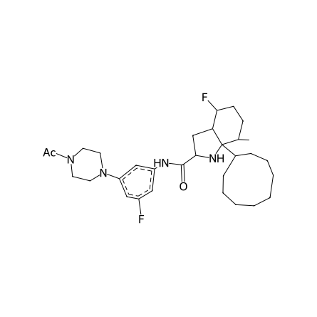 CC(=O)N1CCN(c2cc(F)cc(NC(=O)C3CC4C(F)CCC(C)C4(C4CCCCCCCC4)N3)c2)CC1